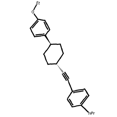 CCCc1ccc(C#C[C@H]2CC[C@H](c3ccc(OCC)cc3)CC2)cc1